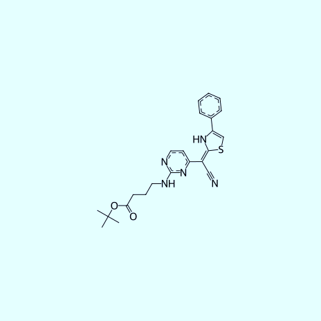 CC(C)(C)OC(=O)CCCNc1nccc(/C(C#N)=C2\NC(c3ccccc3)=CS2)n1